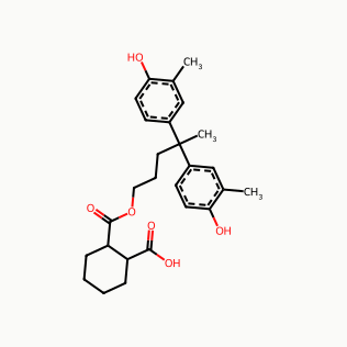 Cc1cc(C(C)(CCCOC(=O)C2CCCCC2C(=O)O)c2ccc(O)c(C)c2)ccc1O